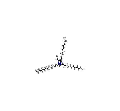 CCCCCCCCCCCCCC[N+](CCCC)(CCCCCCCCCCCCCC)CCCCCCCCCCCCCC